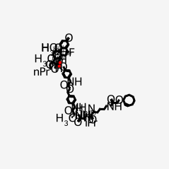 CCCC1O[C@@H]2C[C@H]3[C@@H]4C[C@H](F)C5=CC(=O)C=C[C@]5(C)[C@@]4(F)[C@@H](O)C[C@]3(C)[C@]2(C(=O)COc2ccc(NC(=O)OCc3ccc(NC(=O)[C@H](C)NC(=O)C(NC(=O)[C@H](N)CCCCNC(=O)COC4C#CCCCCC4)C(C)C)cc3)cc2)O1